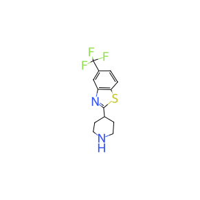 FC(F)(F)c1ccc2sc(C3CCNCC3)nc2c1